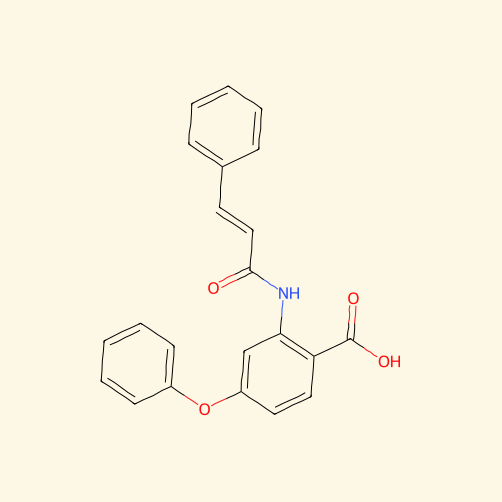 O=C(C=Cc1ccccc1)Nc1cc(Oc2ccccc2)ccc1C(=O)O